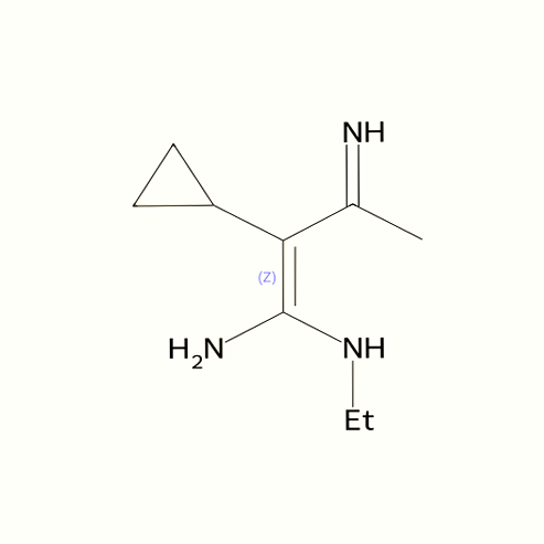 CCN/C(N)=C(\C(C)=N)C1CC1